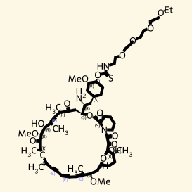 CCOCCOCCOCCOCCNC(=S)O[C@@H]1CC[C@@H](C[C@@H](N)[C@@H]2CC(=O)[C@H](C)/C=C(\C)[C@@H](O)[C@@H](OC)C(=O)[C@H](C)C[C@H](C)/C=C/C=C/C=C(\C)[C@@H](OC)C[C@@H]3CC[C@@H](C)[C@@](O)(O3)C(=O)C(=O)N3CCCC[C@H]3C(=O)O2)C[C@H]1OC